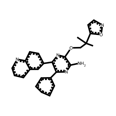 CC(C)(COc1nc(-c2ccc3ncccc3c2)c(-c2ccccc2)nc1N)c1ccno1